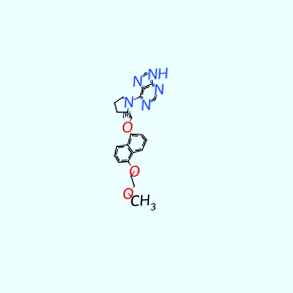 COCCOc1cccc2c(OC[C@H]3CCCN3c3ncnc4[nH]cnc34)cccc12